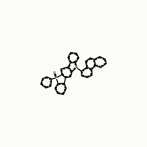 O=P1(c2ccccc2)c2ccccc2-c2cc3c(cc21)c1ccccc1n3-c1cccc2c1ccc1ccccc12